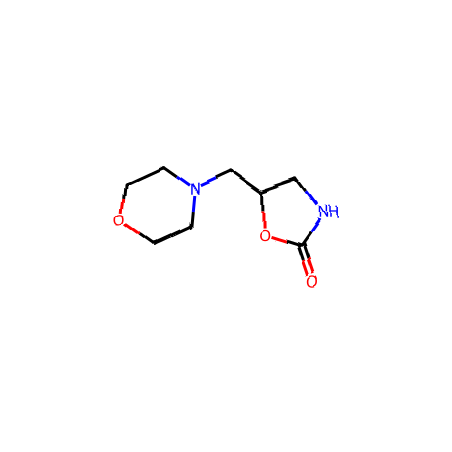 O=C1NCC(CN2CCOCC2)O1